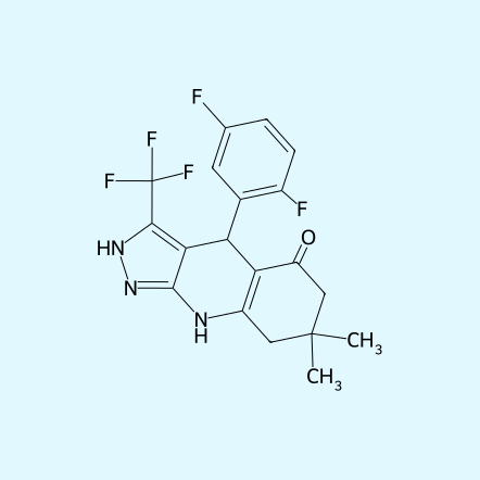 CC1(C)CC(=O)C2=C(C1)Nc1n[nH]c(C(F)(F)F)c1C2c1cc(F)ccc1F